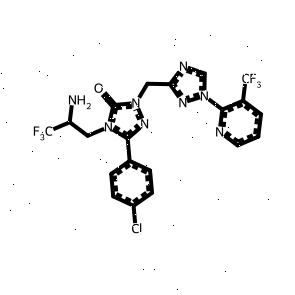 NC(Cn1c(-c2ccc(Cl)cc2)nn(Cc2ncn(-c3ncccc3C(F)(F)F)n2)c1=O)C(F)(F)F